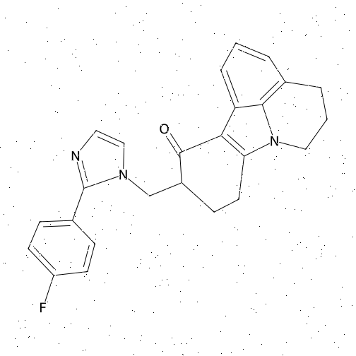 O=C1c2c(n3c4c(cccc24)CCC3)CCC1Cn1ccnc1-c1ccc(F)cc1